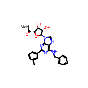 CNC(=O)[C@H]1O[C@H](n2cnc3c(NCc4ccccc4)nc(-c4cccc(C)c4)nc32)[C@@H](O)[C@@H]1O